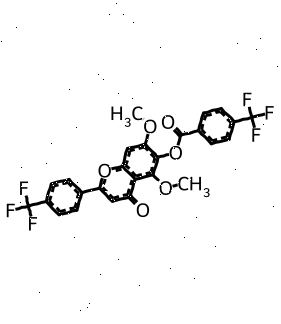 COc1cc2oc(-c3ccc(C(F)(F)F)cc3)cc(=O)c2c(OC)c1OC(=O)c1ccc(C(F)(F)F)cc1